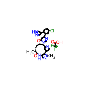 C[C@@H]1CCC[C@H](n2cnc(-c3cc(Cl)ccc3-c3cn[nH]c3)cc2=O)c2cc(ccn2)-c2c(cnn2C)NC1=O.O=C(O)C(F)(F)F